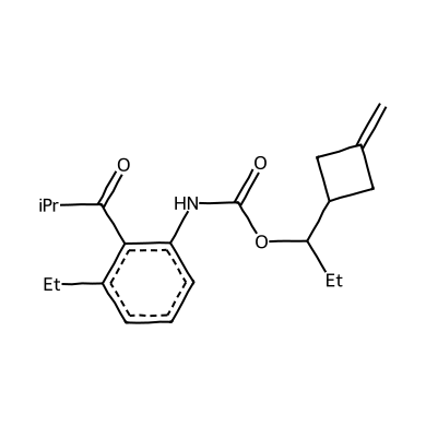 C=C1CC(C(CC)OC(=O)Nc2cccc(CC)c2C(=O)C(C)C)C1